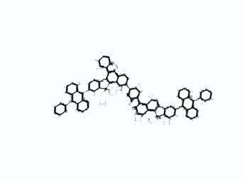 CC1(C)c2cc(-c3c4ccccc4c(-c4ccccc4)c4ccccc34)ccc2-c2c1c1cc(-c3ccc4c(c3)sc3ccc5c6c(ccc5c34)-c3cc(-c4c5ccccc5c(-c5ccccc5)c5ccccc45)ccc3C6(C)C)ccc1c1sc3ccccc3c21